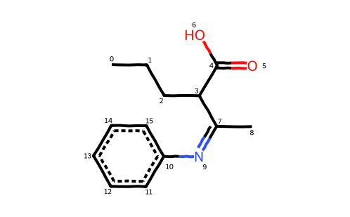 CCCC(C(=O)O)/C(C)=N\c1ccccc1